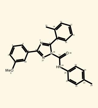 COc1cccc(-c2nc(-c3ccccc3C)n(C(=O)Nc3ccc(C)cc3)n2)c1